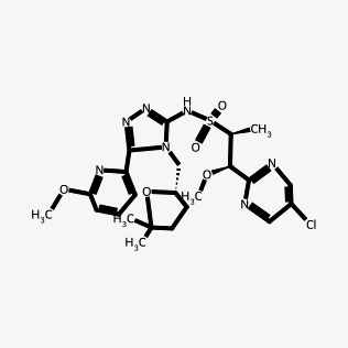 COc1cccc(-c2nnc(NS(=O)(=O)[C@@H](C)[C@H](OC)c3ncc(Cl)cn3)n2C[C@@H]2CCC(C)(C)O2)n1